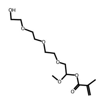 C=C(C)C(=O)OC(COCCOCCOCCO)OC